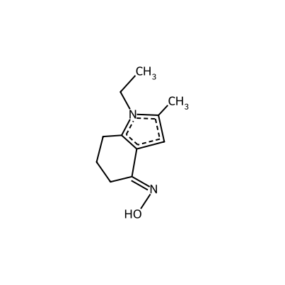 CCn1c(C)cc2c1CCC/C2=N\O